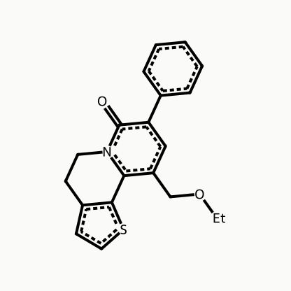 CCOCc1cc(-c2ccccc2)c(=O)n2c1-c1sccc1CC2